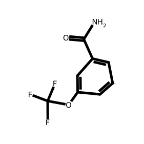 NC(=O)c1c[c]cc(OC(F)(F)F)c1